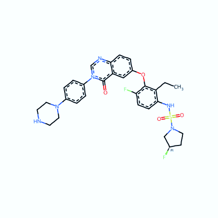 CCc1c(NS(=O)(=O)N2CC[C@@H](F)C2)ccc(F)c1Oc1ccc2ncn(-c3ccc(N4CCNCC4)cc3)c(=O)c2c1